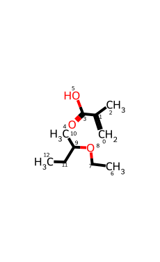 C=C(C)C(=O)O.CCOC(C)CC